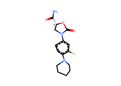 NC(=O)[C@H]1CN(c2ccc(N3CCCCC3)c(F)c2)C(=O)O1